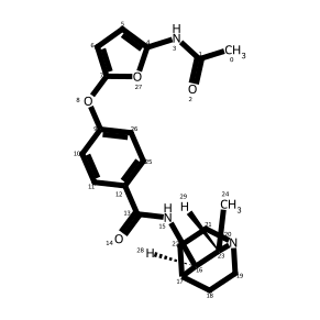 CC(=O)Nc1ccc(Oc2ccc(C(=O)N[C@@H]3C4CCN(CC4)[C@H]3C)cc2)o1